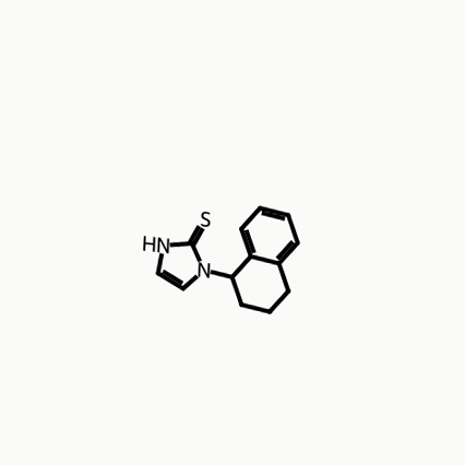 S=c1[nH]ccn1C1CCCc2ccccc21